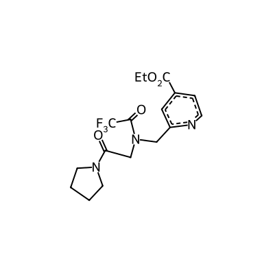 CCOC(=O)c1ccnc(CN(CC(=O)N2CCCC2)C(=O)C(F)(F)F)c1